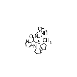 Cc1ccc(F)cc1Sc1c(C(=O)N2CCN[C@@H](C)C2)c2ncccc2n1-c1ccccc1